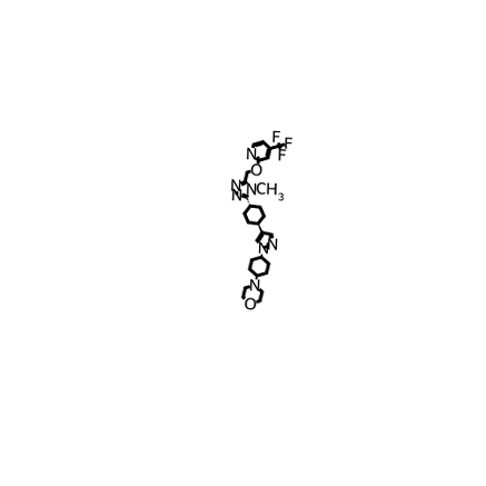 Cn1c(COc2cc(C(F)(F)F)ccn2)nnc1[C@H]1CC[C@H](c2cnn([C@H]3CC[C@H](N4CCOCC4)CC3)c2)CC1